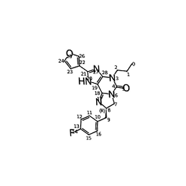 CCCN1C(=O)N2C[C@@H](Cc3ccc(F)cc3)N=C2c2[nH]c(-c3ccoc3)nc21